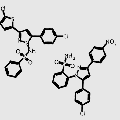 NS(=O)(=O)c1ccccc1-n1nc(-c2ccc([N+](=O)[O-])cc2)cc1-c1ccc(Cl)cc1.O=S(=O)(Nn1nc(-c2ccc(Cl)s2)cc1-c1ccc(Cl)cc1)c1ccccc1